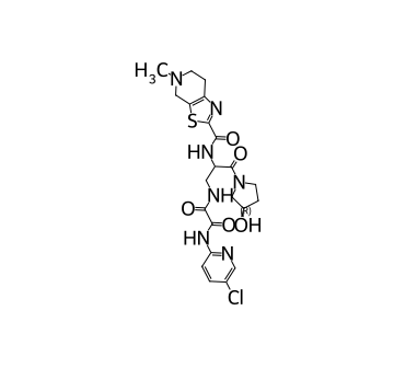 CN1CCc2nc(C(=O)NC(CNC(=O)C(=O)Nc3ccc(Cl)cn3)C(=O)N3CC[C@@H](O)C3)sc2C1